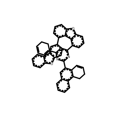 C1=CCCC(c2nc(-c3cc4ccccc4c4c3C=CCC4)nc(-c3cccc4oc5cccc(-c6ccc7oc8ccccc8c7c6)c5c34)n2)=C1